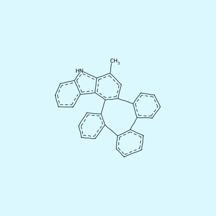 Cc1cc2c(c3c1[nH]c1ccccc13)-c1ccccc1-c1ccccc1-c1ccccc1-2